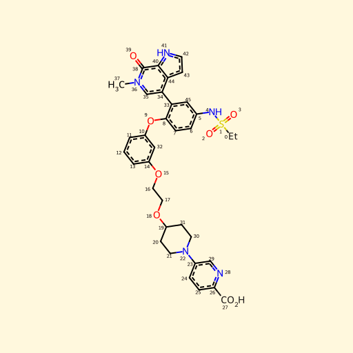 CCS(=O)(=O)Nc1ccc(Oc2cccc(OCCOC3CCN(c4ccc(C(=O)O)nc4)CC3)c2)c(-c2cn(C)c(=O)c3[nH]ccc23)c1